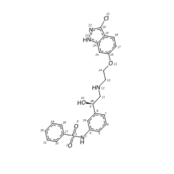 O=S(=O)(Nc1cccc([C@@H](O)CNCCOc2ccc3c(Cl)n[nH]c3c2)c1)c1ccccc1